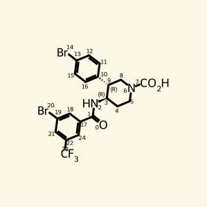 O=C(N[C@@H]1CCN(C(=O)O)C[C@H]1c1ccc(Br)cc1)c1cc(Br)cc(C(F)(F)F)c1